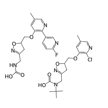 Cc1cnc(-c2ccc(F)nc2)c(OCC2CC(CNC(=O)O)=NO2)c1.Cc1cnc(Cl)c(OCC2CC(CN(C(=O)O)C(C)(C)C)=NO2)c1